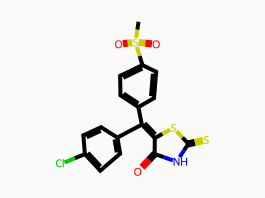 CS(=O)(=O)c1ccc(/C(=C2\SC(=S)NC2=O)c2ccc(Cl)cc2)cc1